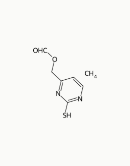 C.O=COCc1ccnc(S)n1